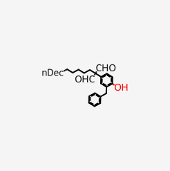 CCCCCCCCCCCCCCCC(C=O)(C=O)c1ccc(O)c(Cc2ccccc2)c1